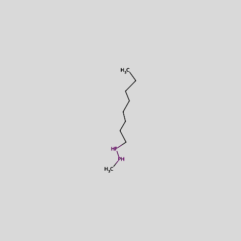 CCCCCCCCPPC